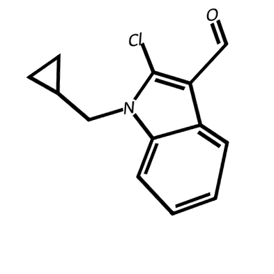 O=Cc1c(Cl)n(CC2CC2)c2ccccc12